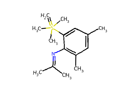 C=S(C)(C)(C)c1cc(C)cc(C)c1N=C(C)C